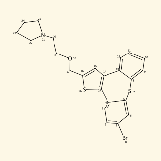 Brc1ccc2c(c1)Sc1ccccc1-c1cc(COCCN3CCCC3)sc1-2